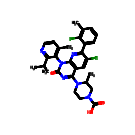 Cc1cccc(-c2nc3c(cc2Cl)c(N2CCN(C(=O)O)CC2C)nc(=O)n3-c2c(C)ccnc2C(C)C)c1F